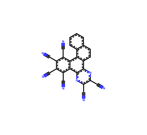 N#Cc1nc2c3ccc4ccccc4c3c3c(C#N)c(C#N)c(C#N)c(C#N)c3c2nc1C#N